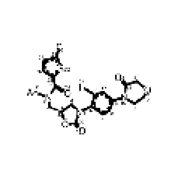 [CH2]C(=O)N(C[C@H]1CN(c2ccc(N3CCOCC3=O)cc2F)C(=O)O1)C(=O)c1ccc(Cl)s1